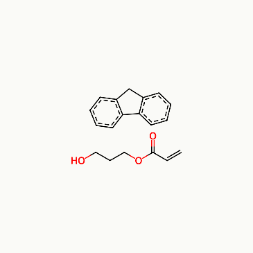 C=CC(=O)OCCCO.c1ccc2c(c1)Cc1ccccc1-2